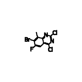 Cc1c(Br)c(F)cc2c(Cl)nc(Cl)nc12